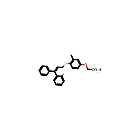 Cc1cc(OCC(=O)O)ccc1SC/C=C(/c1ccccc1)c1ccccc1F